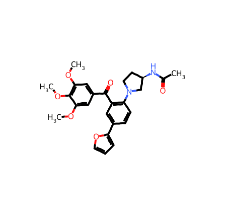 COc1cc(C(=O)c2cc(-c3ccco3)ccc2N2CC[C@@H](NC(C)=O)C2)cc(OC)c1OC